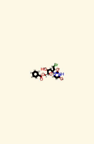 O=C(OC[C@H]1O[C@@](C=CBr)(n2ccc(=O)[nH]c2=O)C[C@@H]1O)c1ccccc1